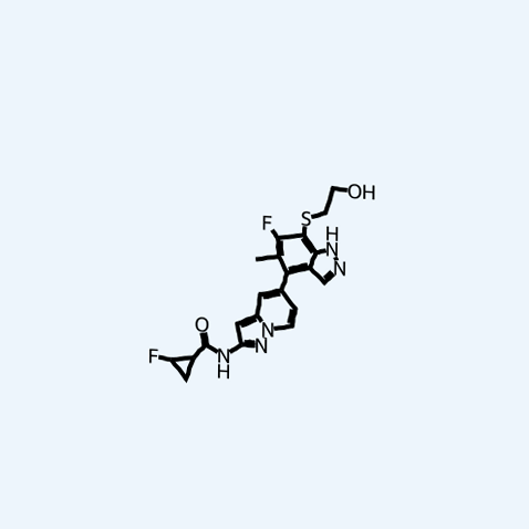 Cc1c(F)c(SCCO)c2[nH]ncc2c1-c1ccn2nc(NC(=O)C3CC3F)cc2c1